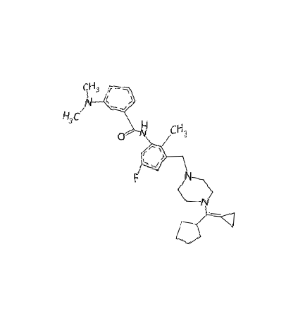 Cc1c(CN2CCN(C(=C3CC3)C3CCCC3)CC2)cc(F)cc1NC(=O)c1cccc(N(C)C)c1